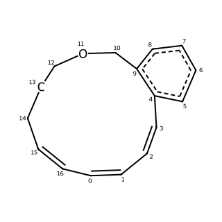 C1=CC=Cc2ccccc2COCCCC=C1